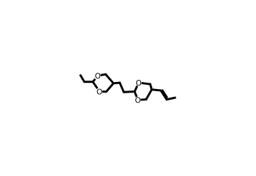 CC=CC1COC(CCC2COC(CC)OC2)OC1